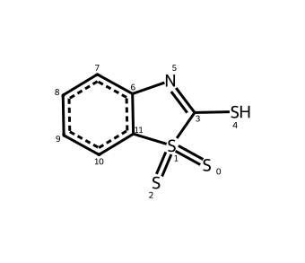 S=S1(=S)C(S)=Nc2ccccc21